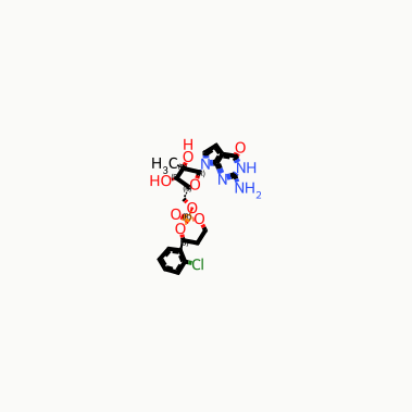 C[C@@]1(O)[C@H](O)[C@@H](CO[P@@]2(=O)OCC[C@@H](c3ccccc3Cl)O2)O[C@H]1n1ccc2c(=O)[nH]c(N)nc21